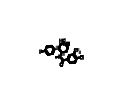 CN(C(=O)c1ccc(Cl)c(C(F)(F)F)c1)[C@@H]1CCNC[C@H]1c1ccc(F)cc1.Cl